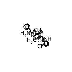 Cn1c([C@H](N)Cc2cccnc2)nc2c1c(=O)n(Cc1cc3c(Cl)cccc3[nH]1)c(=O)n2C